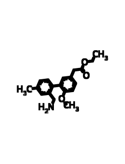 CCOC(=O)Cc1ccc(OC)c(-c2ccc(C)cc2CN)c1